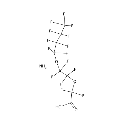 N.O=C(O)C(F)(F)OC(F)(F)C(F)(F)OC(F)(F)C(F)(F)C(F)(F)C(F)(F)F